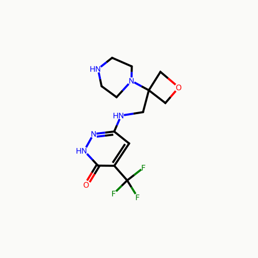 O=c1[nH]nc(NCC2(N3CCNCC3)COC2)cc1C(F)(F)F